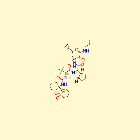 C=CCNC(=O)C(=O)[C@H](CCC1CC1)NC(=O)[C@@H]1[C@H]2CCC[C@H]2CN1C(=O)[C@@H](NC(=O)NC1([C@H]2CCCCS2(=O)=O)CCCCC1)C(C)(C)C